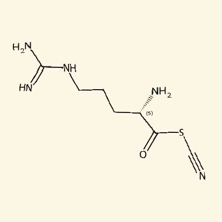 N#CSC(=O)[C@@H](N)CCCNC(=N)N